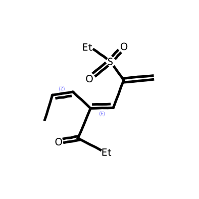 C=C(/C=C(\C=C/C)C(=O)CC)S(=O)(=O)CC